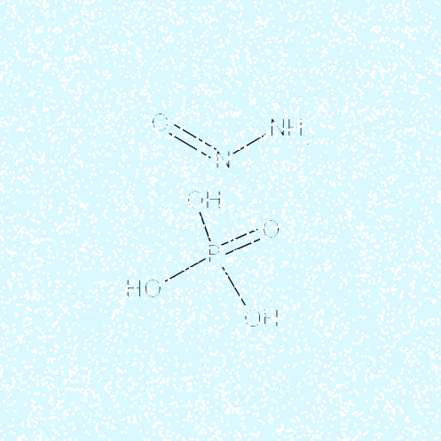 NN=O.O=P(O)(O)O